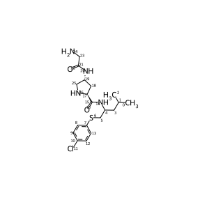 CC(C)CC(CSc1ccc(Cl)cc1)NC(=O)[C@@H]1C[C@@H](NC(=O)CN)CN1